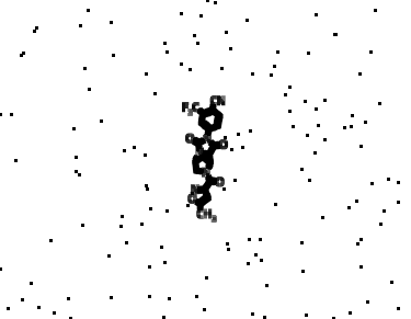 Cc1cc(C(=O)N2CC3CC2C2C(=O)N(c4ccc(C#N)c(C(F)(F)F)c4)C(=O)N32)no1